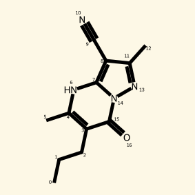 CCCc1c(C)[nH]c2c(C#N)c(C)nn2c1=O